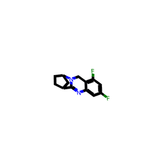 Fc1cc(F)c2c(c1)N=C1C3CCC(C3)N1C2